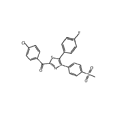 CS(=O)(=O)c1ccc(-c2nc(C(=O)c3ccc(Cl)cc3)sc2-c2ccc(F)cc2)cc1